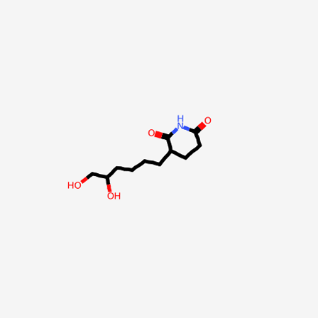 O=C1CCC(CCCCC(O)CO)C(=O)N1